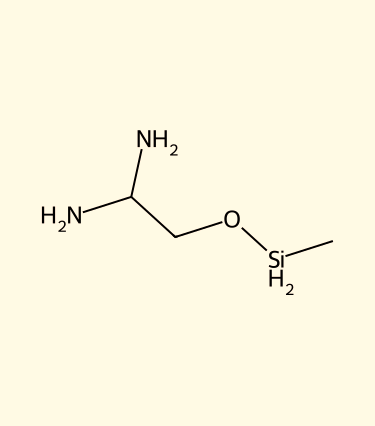 C[SiH2]OCC(N)N